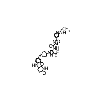 O=C1CCC(Nc2ccc(CN3CCC(n4cc(NC(=O)c5coc(-c6ccnc(NCC(F)(F)F)c6)n5)c(C(F)F)n4)CC3)cc2)C(=O)N1